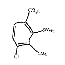 CSc1c(Cl)ccc(C(=O)O)c1SC